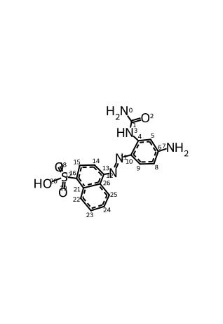 NC(=O)Nc1cc(N)ccc1N=Nc1ccc(S(=O)(=O)O)c2ccccc12